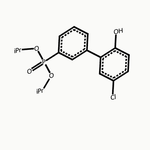 CC(C)OP(=O)(OC(C)C)c1cccc(-c2cc(Cl)ccc2O)c1